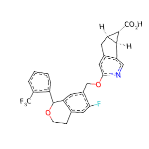 O=C(O)[C@H]1[C@@H]2Cc3cc(OCc4cc5c(cc4F)CCOC5c4ccccc4C(F)(F)F)ncc3[C@@H]21